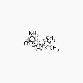 Cc1cc(C)cc(N2CCC(Oc3ccc(N)cc3Cl)C2)c1